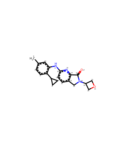 Cc1ccc(C2CC2)c(Nc2ccc3c(n2)C(=O)N(C2COC2)C3)c1